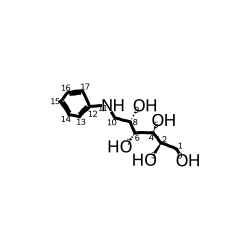 OC[C@@H](O)[C@@H](O)[C@H](O)[C@@H](O)CNc1ccccc1